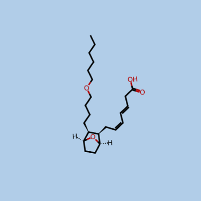 CCCCCCOCCCC[C@H]1[C@@H](C/C=C\C=CCC(=O)O)[C@H]2CC[C@@H]1O2